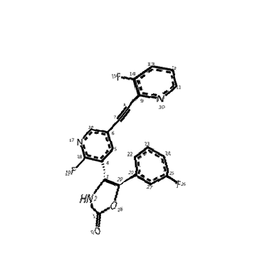 O=C1N[C@H](c2cc(C#Cc3ncccc3F)cnc2F)[C@@H](c2cccc(F)c2)O1